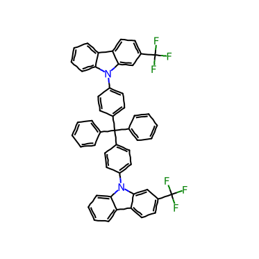 FC(F)(F)c1ccc2c3ccccc3n(-c3ccc(C(c4ccccc4)(c4ccccc4)c4ccc(-n5c6ccccc6c6ccc(C(F)(F)F)cc65)cc4)cc3)c2c1